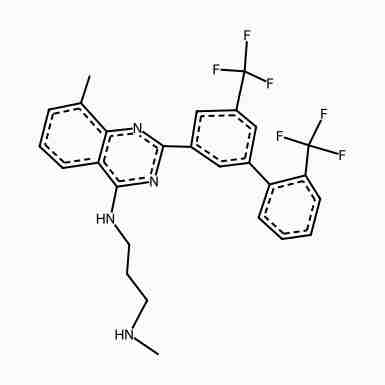 CNCCCNc1nc(-c2cc(-c3ccccc3C(F)(F)F)cc(C(F)(F)F)c2)nc2c(C)cccc12